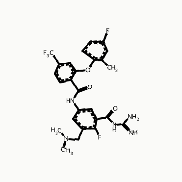 Cc1cc(F)ccc1Oc1cc(C(F)(F)F)ccc1C(=O)Nc1cc(CN(C)C)c(F)c(C(=O)NC(=N)N)c1